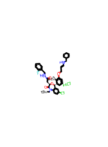 COc1c(OCCCNCc2ccccc2)cccc1[C@H]1O[C@H](CC(=O)NCc2ccccc2F)C(=O)N(CC(C)(C)C)c2ccc(Cl)cc21.Cl